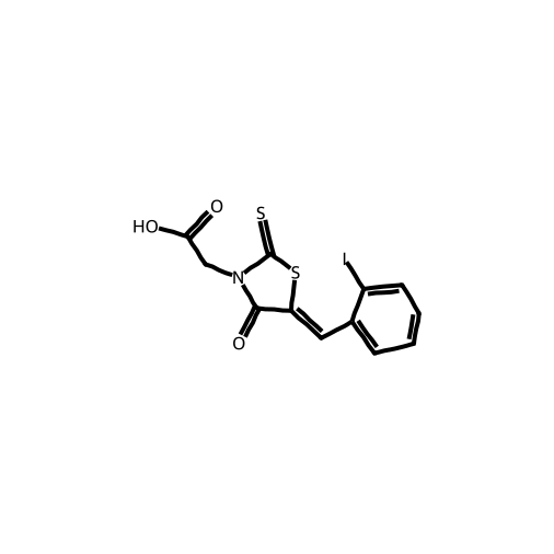 O=C(O)CN1C(=O)C(=Cc2ccccc2I)SC1=S